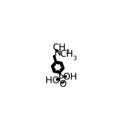 CN(C)Cc1ccc(P(=O)(O)O)cc1